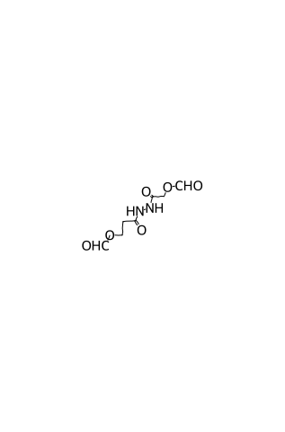 O=COCCC(=O)NNC(=O)COC=O